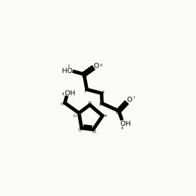 O=C(O)CCCC(=O)O.OCC1C=CCC1